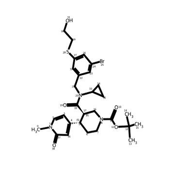 Cn1ccc([C@H]2CCN(C(=O)OC(C)(C)C)C[C@@H]2C(=O)N(Cc2cc(Br)cc(SCCO)c2)C2CC2)cc1=O